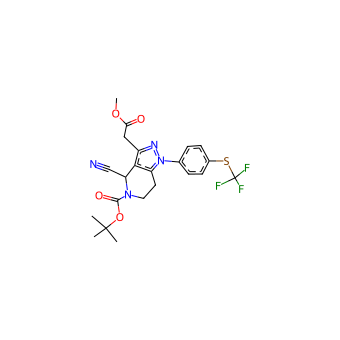 COC(=O)Cc1nn(-c2ccc(SC(F)(F)F)cc2)c2c1C(C#N)N(C(=O)OC(C)(C)C)CC2